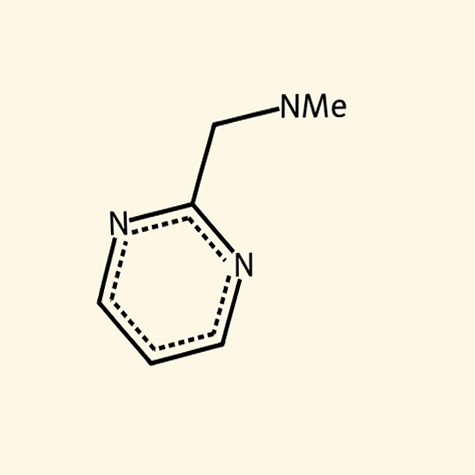 [CH2]NCc1ncccn1